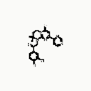 CC1(C)CCn2c(nc(-c3ccncn3)cc2=O)N1CC(=O)c1ccc(Cl)c(Cl)c1